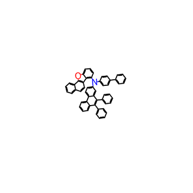 c1ccc(-c2ccc(N(c3ccc4c(c3)c(-c3ccccc3)c(-c3ccccc3)c3ccccc34)c3cccc4oc5c6ccccc6ccc5c34)cc2)cc1